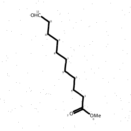 COC(=O)CCCCCCCCC[C]=O